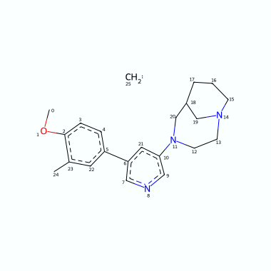 COc1ccc(-c2cncc(N3CCN4CCCC(C4)C3)c2)cc1C.[CH2]